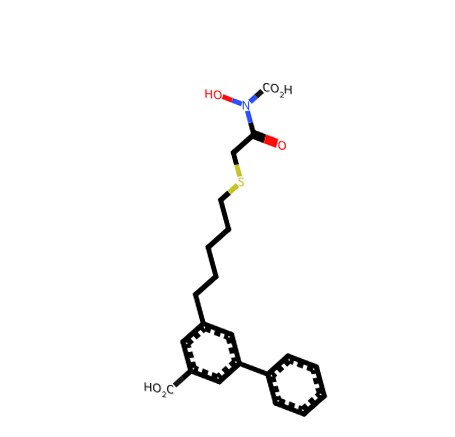 O=C(O)c1cc(CCCCCSCC(=O)N(O)C(=O)O)cc(-c2ccccc2)c1